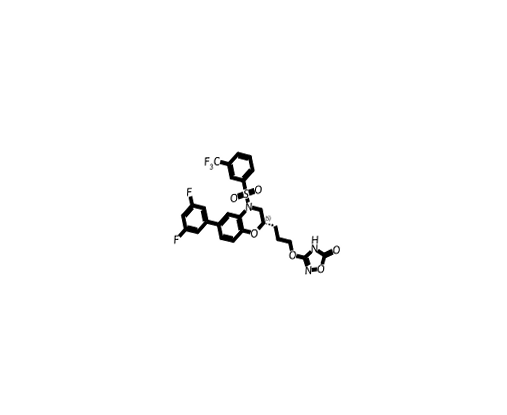 O=c1[nH]c(OCCC[C@H]2CN(S(=O)(=O)c3cccc(C(F)(F)F)c3)c3cc(-c4cc(F)cc(F)c4)ccc3O2)no1